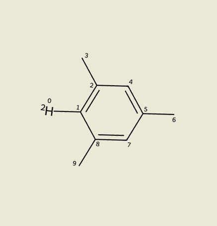 [2H]c1c(C)cc(C)cc1C